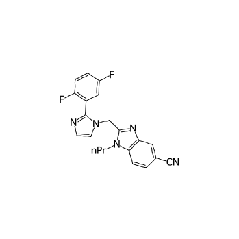 CCCn1c(Cn2ccnc2-c2cc(F)ccc2F)nc2cc(C#N)ccc21